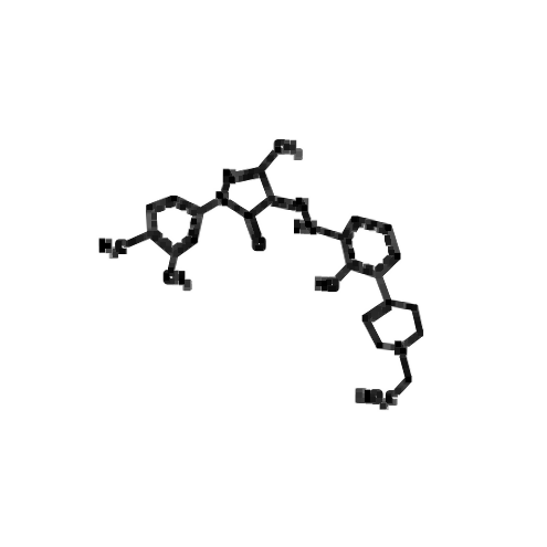 CCOC(=O)CN1CC=C(c2cccc(N/N=C3\C(=O)N(c4ccc(C)c(C)c4)N=C3C)c2O)CC1